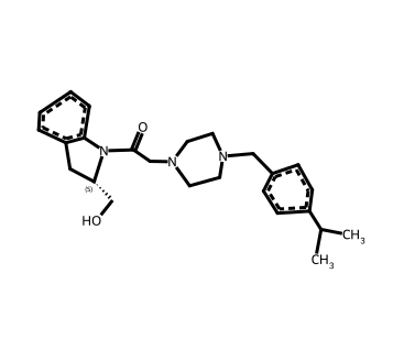 CC(C)c1ccc(CN2CCN(CC(=O)N3c4ccccc4C[C@H]3CO)CC2)cc1